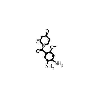 COc1cc(N)c(N)cc1C(=O)N1CCC(=O)C[C@H]1C